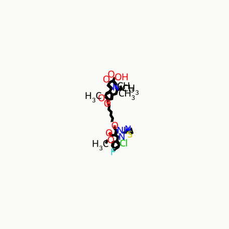 CCOC(=O)C1=C(COCCCCCCOc2cc3c(cc2OC)-c2cc(=O)c(C(=O)O)cn2C(C(C)(C)C)C3)NC(c2nccs2)=NC1c1ccc(F)cc1Cl